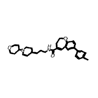 Cc1ccc(-c2ccc3c(c2)C=C(C(=O)NCCCC2CCN(C4CCOCC4)CC2)CCO3)cc1